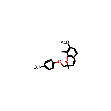 CC(=O)Oc1ccc2c(c1C)OC(C)(COc1ccc([N+](=O)[O-])cc1)C=C2